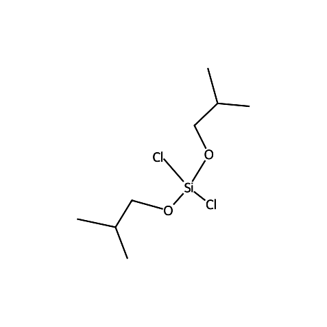 CC(C)CO[Si](Cl)(Cl)OCC(C)C